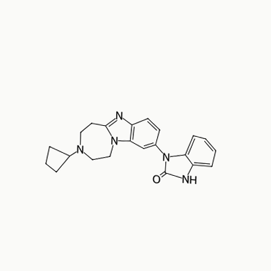 O=c1[nH]c2ccccc2n1-c1ccc2nc3n(c2c1)CCN(C1CCC1)CC3